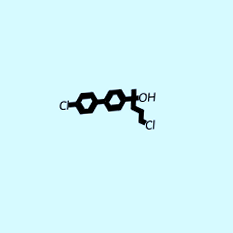 CC(O)(CCCCl)c1ccc(-c2ccc(Cl)cc2)cc1